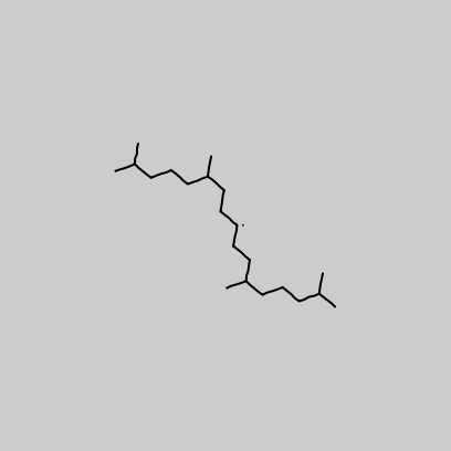 CC(C)CCCC(C)CC[CH]CCC(C)CCCC(C)C